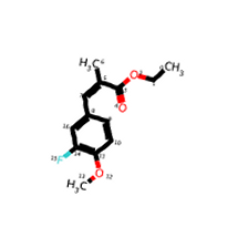 CCOC(=O)C(C)=Cc1ccc(OC)c(F)c1